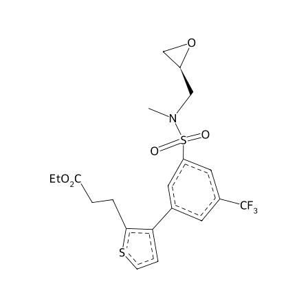 CCOC(=O)CCc1sccc1-c1cc(C(F)(F)F)cc(S(=O)(=O)N(C)C[C@H]2CO2)c1